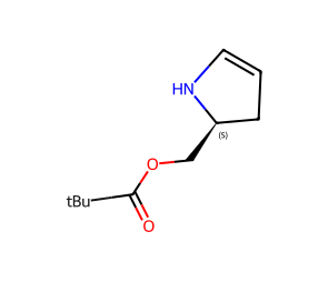 CC(C)(C)C(=O)OC[C@@H]1CC=CN1